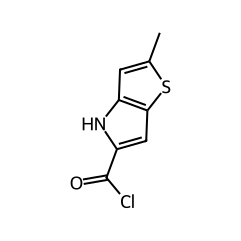 Cc1cc2[nH]c(C(=O)Cl)cc2s1